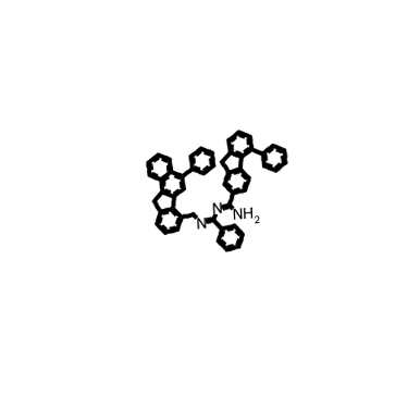 N/C(=N\C(=N/Cc1cccc2c1-c1cc(-c3ccccc3)c3ccccc3c1C2)c1ccccc1)c1ccc2c(c1)Cc1cccc(-c3ccccc3)c1-2